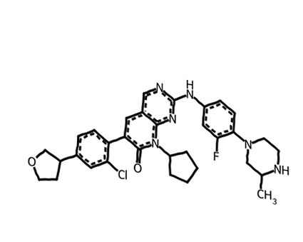 CC1CN(c2ccc(Nc3ncc4cc(-c5ccc(C6CCOC6)cc5Cl)c(=O)n(C5CCCC5)c4n3)cc2F)CCN1